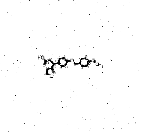 COc1ccc(COc2ccc(C(CC(=O)O)C3=NOCC3)cc2)cc1